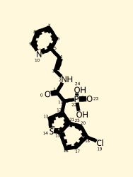 O=C(NC=Cc1ccccn1)C(c1csc2ccc(Cl)cc12)P(=O)(O)O